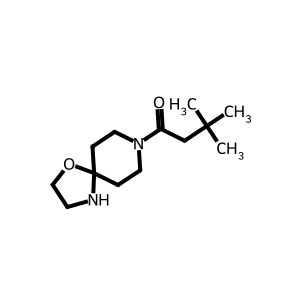 CC(C)(C)CC(=O)N1CCC2(CC1)NCCO2